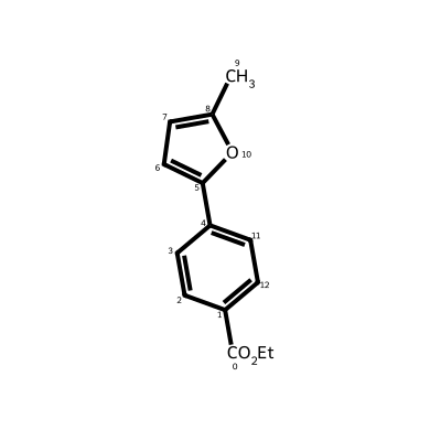 CCOC(=O)c1ccc(-c2ccc(C)o2)cc1